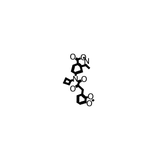 Cc1noc(=O)c2ccc(N(C(=O)C(=O)Cc3cccc4c3OCO4)C3CCC3)cc12